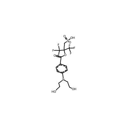 O=C(OC(CS(=O)(=O)O)(C(F)(F)F)C(F)(F)F)c1ccc(N(CCO)CCO)cc1